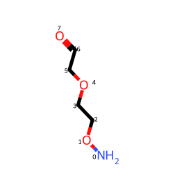 NOCCOC[C]=O